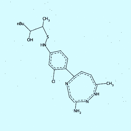 CCCCC(O)C(C)SNc1ccc(-c2ccc(C)[nH]nc(N)cn2)c(Cl)c1